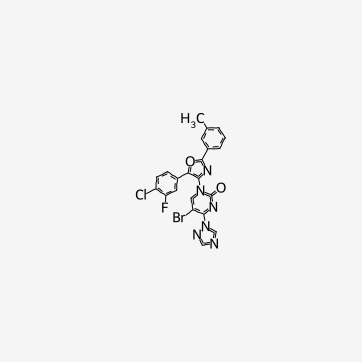 Cc1cccc(-c2nc(-n3cc(Br)c(-n4cncn4)nc3=O)c(-c3ccc(Cl)c(F)c3)o2)c1